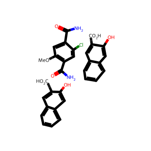 COc1cc(C(N)=O)c(Cl)cc1C(N)=O.O=C(O)c1cc2ccccc2cc1O.O=C(O)c1cc2ccccc2cc1O